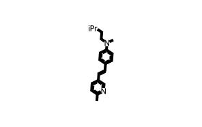 Cc1ccc(/C=C/c2ccc(N(C)CCC(C)C)cc2)cn1